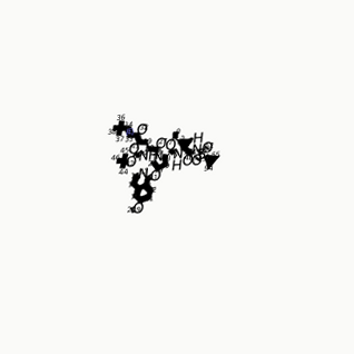 CC[C@@H]1C[C@]1(NC(=O)[C@@H]1C[C@@H](Oc2nccc3cc(OC)ccc23)CN1C(=O)[C@H](CCC(=O)/C=C/C(C)(C)C)NC(=O)OC(C)(C)C)C(=O)NS(=O)(=O)C1CC1